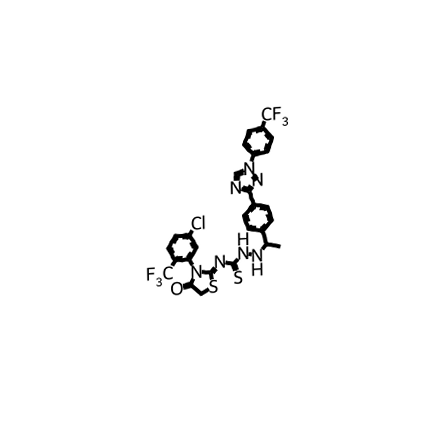 CC(NNC(=S)/N=C1\SCC(=O)N1c1cc(Cl)ccc1C(F)(F)F)c1ccc(-c2ncn(-c3ccc(C(F)(F)F)cc3)n2)cc1